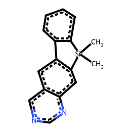 C[Si]1(C)c2ccccc2-c2cc3cncnc3cc21